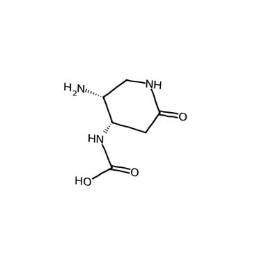 N[C@@H]1CNC(=O)C[C@@H]1NC(=O)O